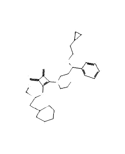 NC[C@H](CC1CCCCC1)Nc1c(N2CCC[C@@H]([C@@H](OCCC3CC3)c3ccccc3)C2)c(=O)c1=O